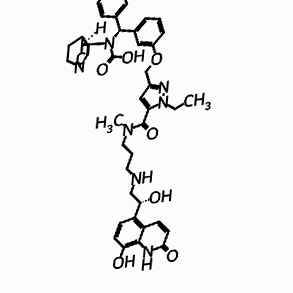 CCn1nc(COc2cccc([C@H](c3ccccc3)N(C(=O)O)[C@H]3CN4CCC3CC4)c2)cc1C(=O)N(C)CCCNC[C@H](O)c1ccc(O)c2[nH]c(=O)ccc12